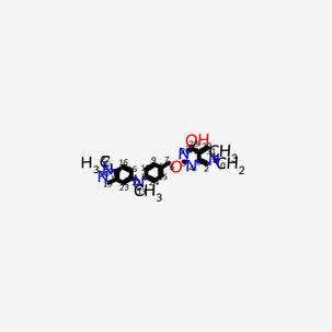 C=N/C=c1/nc(OCc2ccc(N(C)c3ccc4c(cnn4C)c3)cc2)nc(O)/c1=C/C